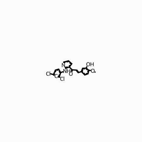 COc1ccc(/C=C/C(=O)c2cccnc2Nc2ccc(Cl)cc2Cl)cc1O